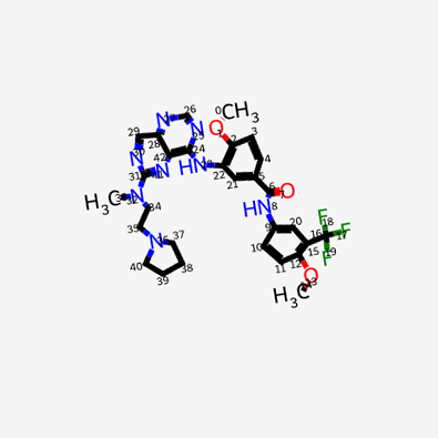 COc1ccc(C(=O)Nc2ccc(OC)c(C(F)(F)F)c2)cc1Nc1ncnc2cnc(N(C)CCN3CCCC3)nc12